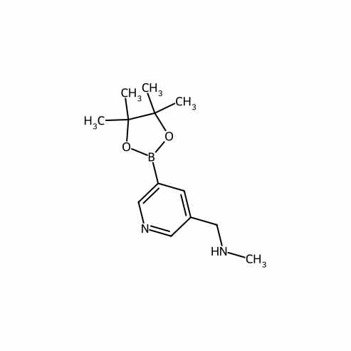 CNCc1cncc(B2OC(C)(C)C(C)(C)O2)c1